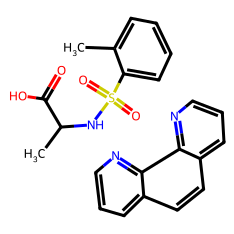 Cc1ccccc1S(=O)(=O)NC(C)C(=O)O.c1cnc2c(c1)ccc1cccnc12